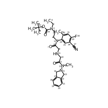 CCN(CCN(C(=O)CNCC(=O)N(C)N1Cc2ccccc2C1)c1cc(C#N)c(F)cc1C)C(=O)OC(C)(C)C